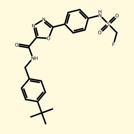 CC(C)(C)c1ccc(CNC(=O)c2nnc(-c3ccc(NS(=O)(=O)CF)cc3)o2)cc1